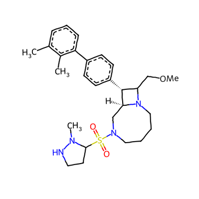 COCC1[C@@H](c2ccc(-c3cccc(C)c3C)cc2)[C@@H]2CN(S(=O)(=O)C3CCNN3C)CCCCN12